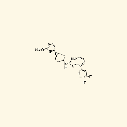 COc1nccc(N2CCC(Nc3nc4c(-c5ccc(F)c(F)c5)cccn4n3)CC2)n1